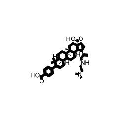 C=C(CNCCN(C)C)[C@@H]1CC[C@]2(C(=O)O)CC[C@]3(C)[C@H](CC[C@@H]4[C@@]5(C)CC=C(c6ccc(C(=O)O)cc6)C(C)(C)[C@@H]5CC[C@]43C)[C@@H]12